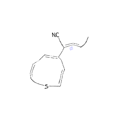 C/C=C(\C#N)C1=CC=CSC=C1